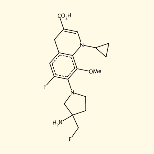 COc1c(N2CCC(N)(CF)C2)c(F)cc2c1N(C1CC1)C=C(C(=O)O)C2